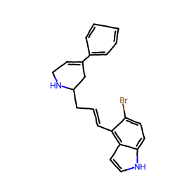 Brc1ccc2[nH]ccc2c1C=CCC1CC(c2ccccc2)=CCN1